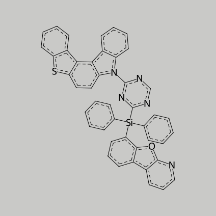 c1ccc([Si](c2ccccc2)(c2ncnc(-n3c4ccccc4c4c5c(ccc43)sc3ccccc35)n2)c2cccc3c2oc2ncccc23)cc1